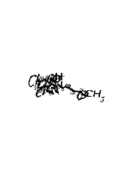 COCCCCNc1nccc(-c2ccc(Cl)cc2Cl)c1[N+](=O)[O-]